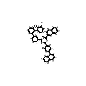 Clc1cccc2c1oc1cccc(-c3cccc(-c4nc(-c5ccc(-c6cccc7ccccc67)cc5)nc(-c5ccc6ccccc6c5)n4)c3)c12